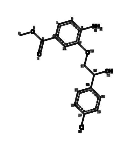 COC(=O)c1ccc(N)c(OCC(O)c2ccc(Cl)cc2)c1